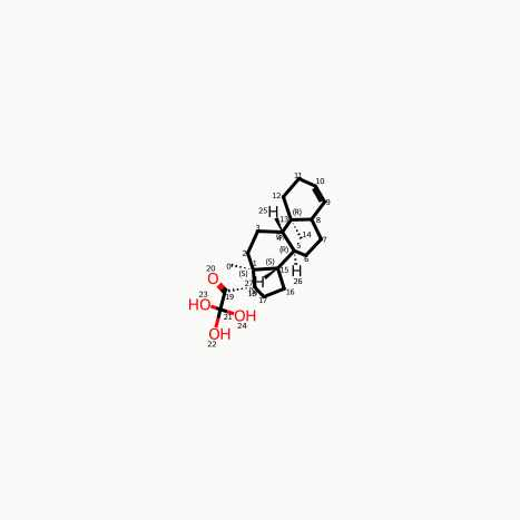 C[C@]12CC[C@H]3[C@@H](CCC4C=CCC[C@@]43C)[C@@H]1CC[C@@H]2C(=O)C(O)(O)O